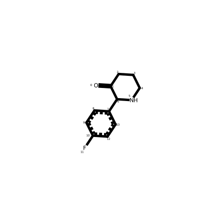 O=C1CCCNC1c1ccc(F)cc1